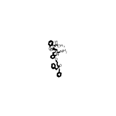 CNN(C(=O)CN1Cc2cccc(OCCCC(=O)N(Cc3ccccc3)Cc3ccccc3)c2N=C1N)c1ccccc1C